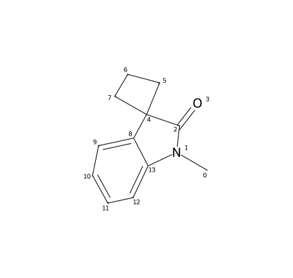 CN1C(=O)C2(CCC2)c2ccccc21